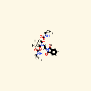 CCNC(=O)OC(C)N(CCN1C(=O)c2ccccc2C1=O)C(C)OC(=O)NCC